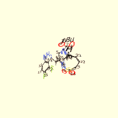 CC(C)(C)OC(=O)N1C[C@H](CCc2c(N)ccc(F)c2F)N2C[C@H]1CCCS2(=O)=O